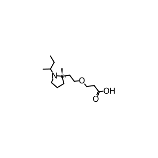 CCC(C)N1CCC[C@@]1(C)CCOCCC(=O)O